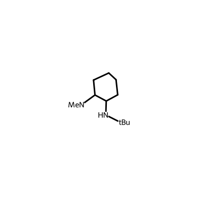 CNC1CCCCC1NC(C)(C)C